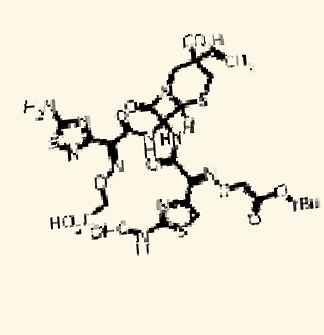 C=CC1(C(=O)O)CS[C@H]2N(C1)C(=O)C2(NC(=O)C(=NOCC(=O)OC(C)(C)C)c1csc(NC=O)n1)NC(=O)C(=NOCC(=O)O)c1nsc(N)n1